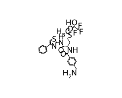 CSCCC(NC(=O)c1ccc(CN)cc1)C(=O)Nc1nc(-c2ccccc2)cs1.O=C(O)C(F)(F)F